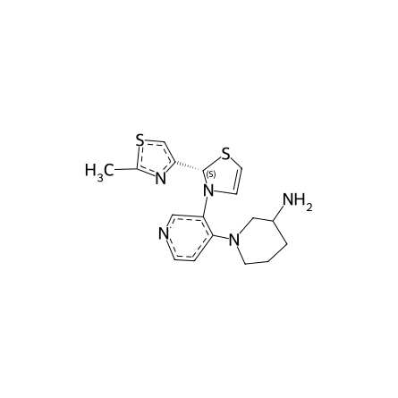 Cc1nc([C@@H]2SC=CN2c2cnccc2N2CCCC(N)C2)cs1